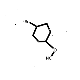 CC(C)(C)C1CCC(OC#N)CC1